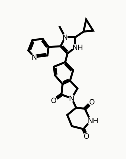 CN1C(c2cccnc2)=C(c2ccc3c(c2)CN(C2CCC(=O)NC2=O)C3=O)NC1C1CC1